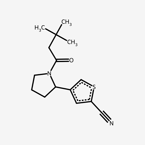 CC(C)(C)CC(=O)N1CCCC1c1csc(C#N)c1